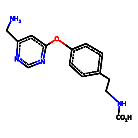 NCc1cc(Oc2ccc(CCNC(=O)O)cc2)ncn1